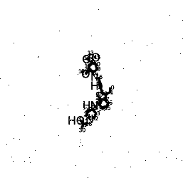 CCc1c(C#CCNc2ccc(S(C)(=O)=O)cc2OC)sc2c(NC3CCN(CC(C)O)CC3)cccc12